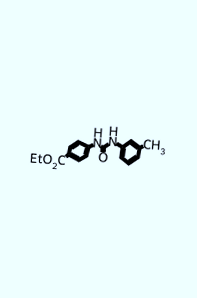 CCOC(=O)c1ccc(NC(=O)Nc2cccc(C)c2)cc1